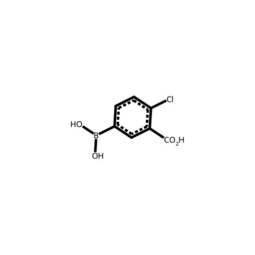 O=C(O)c1cc(B(O)O)ccc1Cl